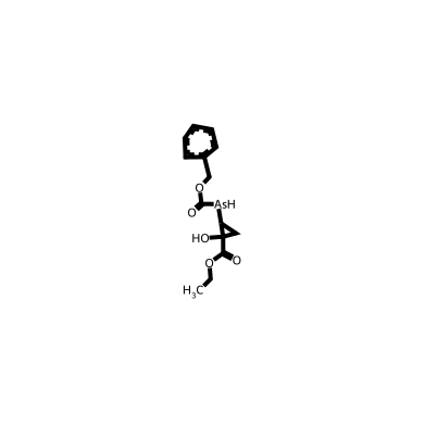 CCOC(=O)C1(O)CC1[AsH]C(=O)OCc1ccccc1